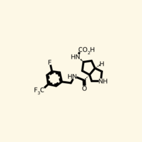 O=C(O)N[C@@H]1C[C@H]2CNC[C@@]2(C(=O)NCc2cc(F)cc(C(F)(F)F)c2)C1